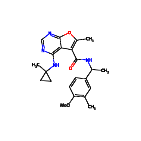 COc1ccc(C(C)NC(=O)c2c(C)oc3ncnc(NC4(C)CC4)c23)cc1C